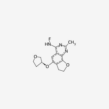 Cc1nc(NF)c2cc(O[C@H]3CCOC3)c3c(c2n1)OCC3